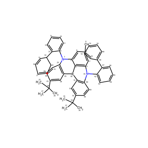 Cc1cc2c3c(c1)N(c1ccccc1C1C=CC=CC1)c1ccc(C(C)(C)C)cc1B3c1cc(C(C)(C)C)ccc1N2c1ccccc1-c1ccccc1